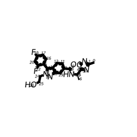 Cc1noc([C@@H](C)NC(=O)c2ccc3c(-c4ccc(F)cc4F)n(CCO)nc3c2)n1